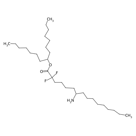 CCCCCCCCCC(N)CCCCC(F)(F)C(=O)OC(CCCCCCC)CCCCCCC